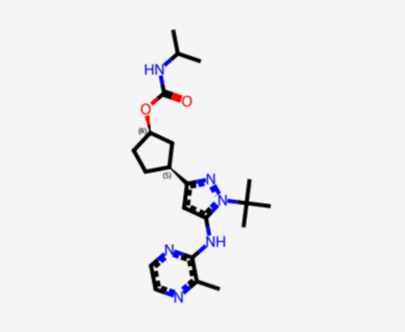 Cc1nccnc1Nc1cc([C@H]2CC[C@@H](OC(=O)NC(C)C)C2)nn1C(C)(C)C